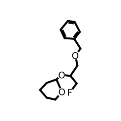 FCC(COCc1ccccc1)OC1CCCCO1